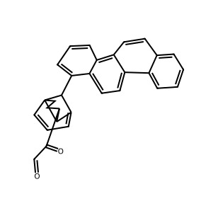 O=CC(=O)C1CCC23C=CC=C(C2c2cccc4c2ccc2c5ccccc5ccc42)C13